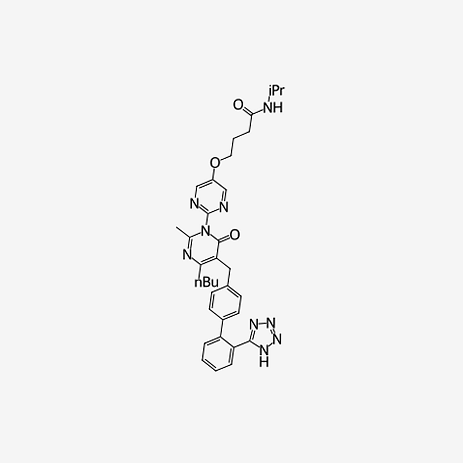 CCCCc1nc(C)n(-c2ncc(OCCCC(=O)NC(C)C)cn2)c(=O)c1Cc1ccc(-c2ccccc2-c2nnn[nH]2)cc1